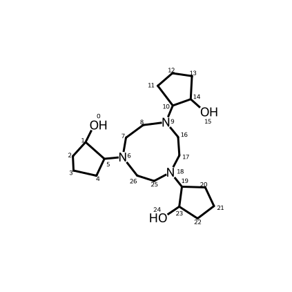 OC1CCCC1N1CCN(C2CCCC2O)CCN(C2CCCC2O)CC1